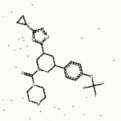 O=C(N1CCOCC1)N1CC(c2ccc(OC(F)(F)F)cc2)CC(c2nc(C3CC3)no2)C1